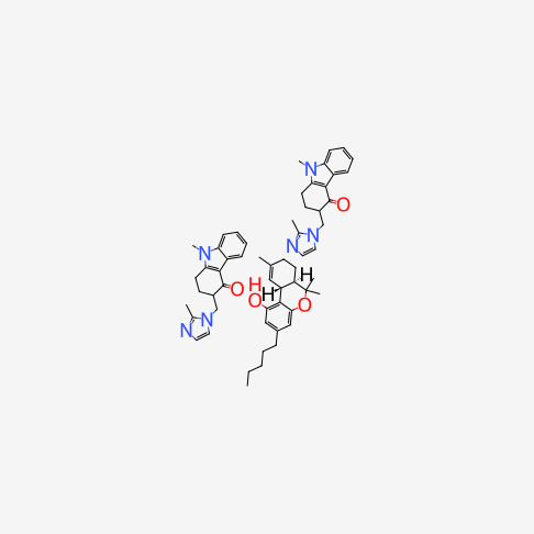 CCCCCc1cc(O)c2c(c1)OC(C)(C)[C@@H]1CCC(C)=C[C@@H]21.Cc1nccn1CC1CCc2c(c3ccccc3n2C)C1=O.Cc1nccn1CC1CCc2c(c3ccccc3n2C)C1=O